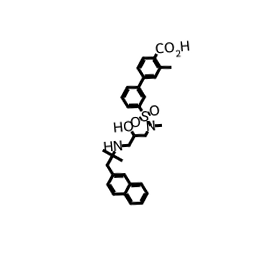 Cc1cc(-c2cccc(S(=O)(=O)N(C)CC(O)CNC(C)(C)Cc3ccc4ccccc4c3)c2)ccc1C(=O)O